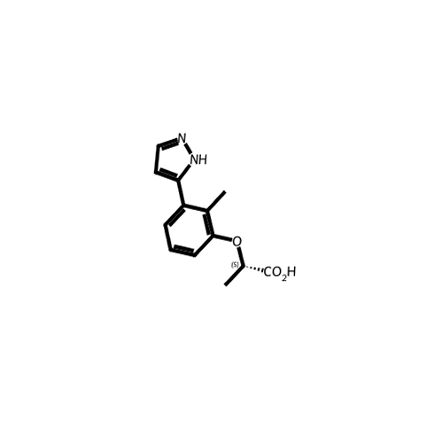 Cc1c(O[C@@H](C)C(=O)O)cccc1-c1ccn[nH]1